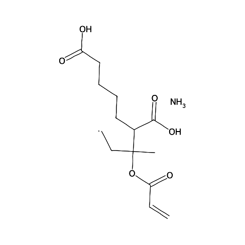 N.[CH2]CC(C)(OC(=O)C=C)C(CCCCC(=O)O)C(=O)O